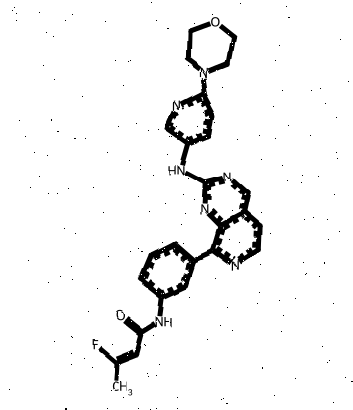 CC(F)=CC(=O)Nc1cccc(-c2nccc3cnc(Nc4ccc(N5CCOCC5)nc4)nc23)c1